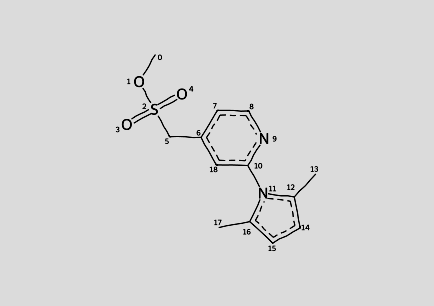 COS(=O)(=O)Cc1ccnc(-n2c(C)ccc2C)c1